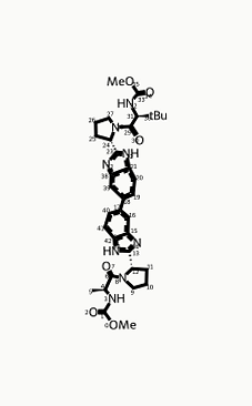 COC(=O)N[C@@H](C)C(=O)N1CCC[C@H]1c1nc2cc(-c3ccc4[nH]c([C@@H]5CCCN5C(=O)[C@@H](NC(=O)OC)C(C)(C)C)nc4c3)ccc2[nH]1